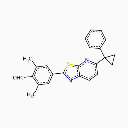 Cc1cc(-c2nc3ccc(C4(c5ccccc5)CC4)nc3s2)cc(C)c1C=O